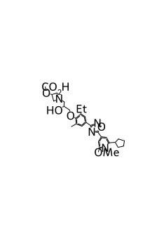 CCc1cc(-c2noc(-c3cc(OC)nc(C4CCCC4)c3)n2)cc(C)c1OC[C@@H](O)CN1CC(OC(=O)O)C1